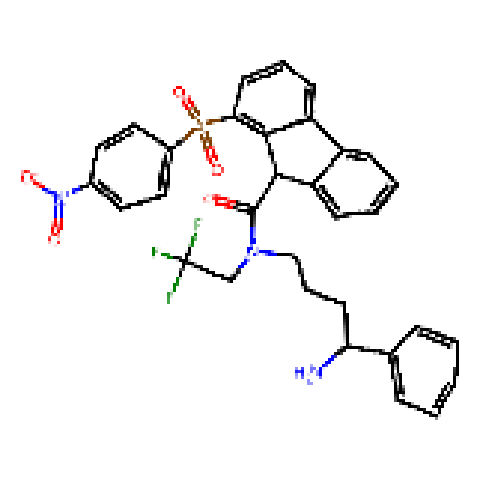 NC(CCCN(CC(F)(F)F)C(=O)C1c2ccccc2-c2cccc(S(=O)(=O)c3ccc([N+](=O)[O-])cc3)c21)c1ccccc1